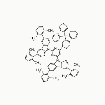 Cc1cccc(C)c1-c1ccc2c(c1)c1cc(-c3c(C)cccc3C)ccc1n2-c1nc(-c2cccc([Si](c3ccccc3)(c3ccccc3)c3ccccc3)c2)nc(-n2c3ccc(-c4c(C)cccc4C)cc3c3cc(-c4c(C)cccc4C)ccc32)n1